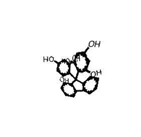 Oc1cc(O)c(C2(c3c(O)cc(O)cc3O)c3ccccc3-c3ccccc32)c(O)c1